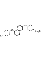 CCOC(=O)C1CCN(Cc2ccc3c(O[C@H]4CC[C@@H](C(C)C)CC4)cccc3c2)CC1